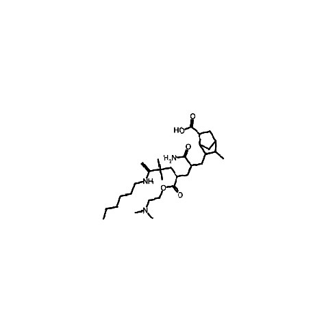 C=C(NCCCCCC)C(C)(C)CC(CC(CC1C(C)C2CC(C(=O)O)C1C2)C(N)=O)C(=O)OCCN(C)C